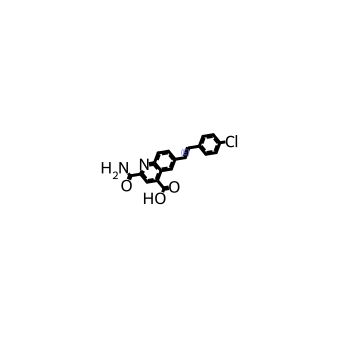 NC(=O)c1cc(C(=O)O)c2cc(/C=C/c3ccc(Cl)cc3)ccc2n1